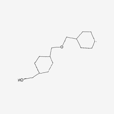 OCC1CCC(COCC2CC[CH]CC2)CC1